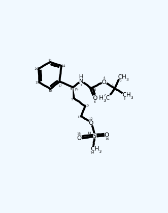 CC(C)(C)OC(=O)N[C@@H](CCCOS(C)(=O)=O)c1ccccc1